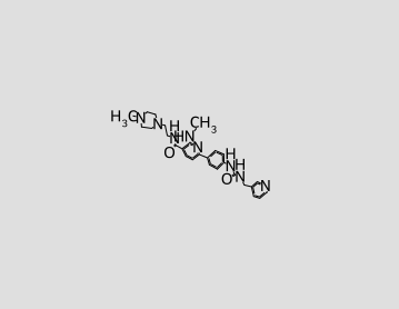 CCNc1nc(-c2ccc(NC(=O)NCc3cccnc3)cc2)ccc1C(=O)NCCN1CCN(C)CC1